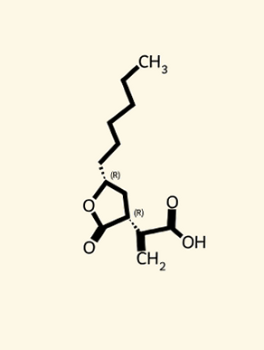 C=C(C(=O)O)[C@H]1C[C@@H](CCCCCC)OC1=O